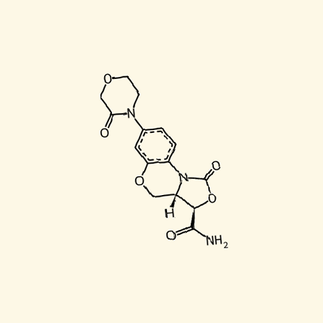 NC(=O)[C@@H]1OC(=O)N2c3ccc(N4CCOCC4=O)cc3OC[C@@H]12